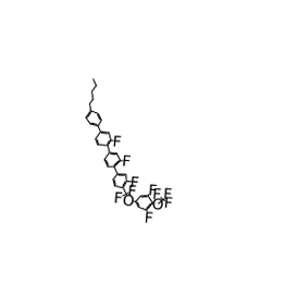 CCCCCc1ccc(-c2ccc(-c3ccc(-c4ccc(C(F)(F)Oc5cc(F)c(OC(F)(F)F)c(F)c5)c(F)c4)c(F)c3)c(F)c2)cc1